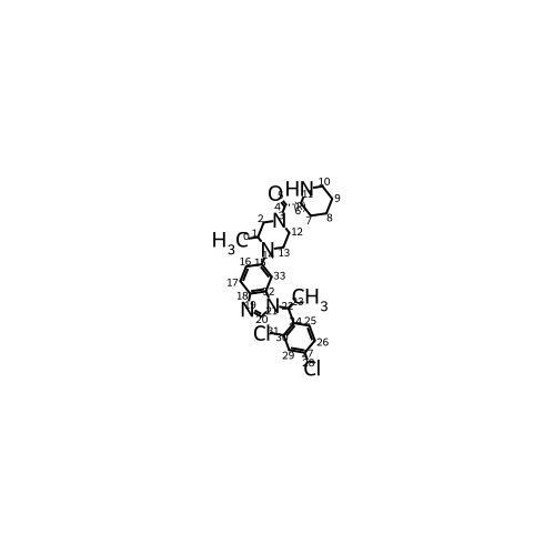 CC1CN(C(=O)[C@H]2CCCCN2)CCN1c1ccc2ncn(C(C)c3ccc(Cl)cc3Cl)c2c1